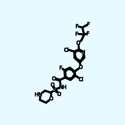 O=C(NS(=O)(=O)C1CNCCO1)c1cc(Cl)c(Oc2cnc(OCC(F)(F)C(F)F)c(Cl)c2)cc1F